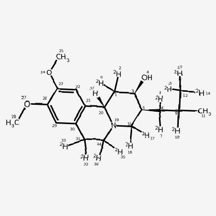 [2H]C1([2H])[C@@H](O)[C@@H](C([2H])([2H])C([2H])(C)C([2H])([2H])[2H])C([2H])([2H])N2[C@@H]1c1cc(OC)c(OC)cc1C([2H])([2H])C2([2H])[2H]